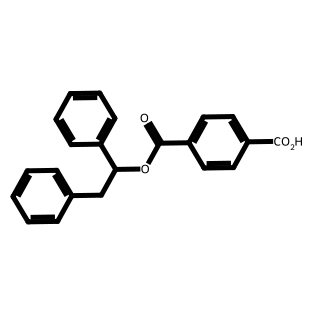 O=C(O)c1ccc(C(=O)OC(Cc2ccccc2)c2ccccc2)cc1